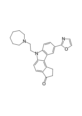 O=C1CCc2c1ccc1c2c2cc(-c3ncco3)ccc2n1CCN1CCCCCC1